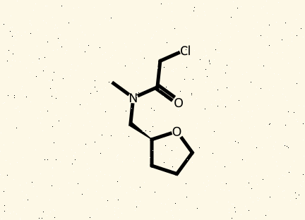 CN(C[C@@H]1CCCO1)C(=O)CCl